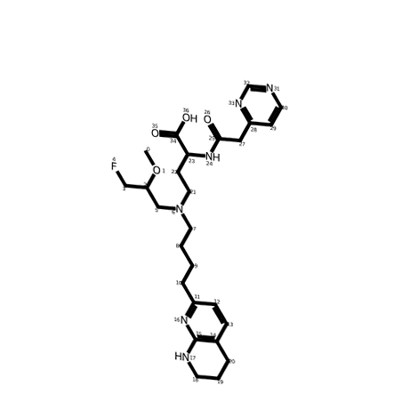 COC(CF)CN(CCCCc1ccc2c(n1)NCCC2)CCC(NC(=O)Cc1ccncn1)C(=O)O